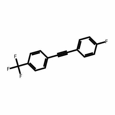 Fc1ccc(C#Cc2ccc(C(F)(F)F)cc2)cc1